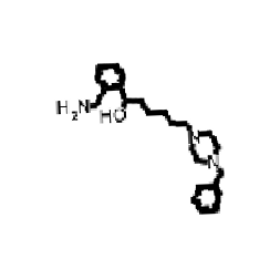 NCc1ccccc1C(O)CCCCCN1CCN(Cc2ccccc2)CC1